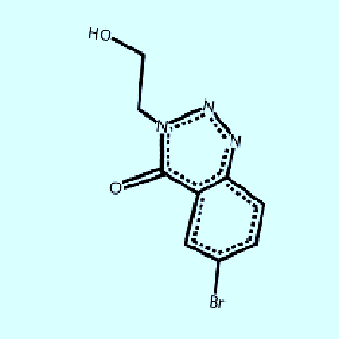 O=c1c2cc(Br)ccc2nnn1CCO